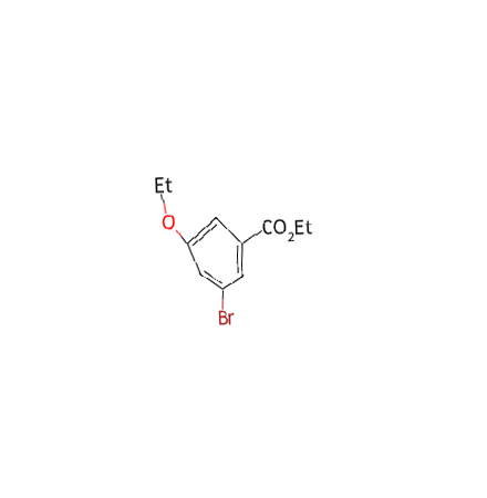 CCOC(=O)c1cc(Br)cc(OCC)c1